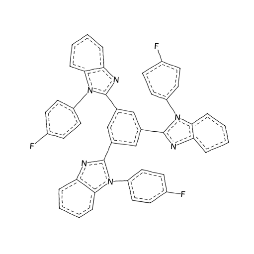 Fc1ccc(-n2c(-c3cc(-c4nc5ccccc5n4-c4ccc(F)cc4)cc(-c4nc5ccccc5n4-c4ccc(F)cc4)c3)nc3ccccc32)cc1